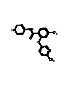 Cc1ccc(Oc2cc(C(F)(F)F)ccc2C(=O)NC2=CCNC=C2)cn1